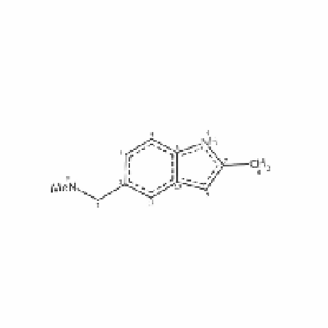 CNCc1ccc2[nH]c(C)cc2c1